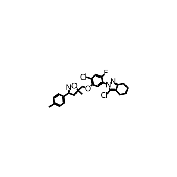 Cc1ccc(C2=NOC(C)(COc3cc(-n4nc5c(c4Cl)CCCC5)c(F)cc3Cl)C2)cc1